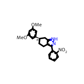 COc1cc(OC)cc([C@@H]2CCc3c(-c4ccccc4[N+](=O)[O-])n[nH]c3C2)c1